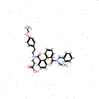 CCOc1ccc(CCN(CCC(=O)O)C(=O)c2ccccc2-c2ccccc2C(=O)N(CC)Cc2ccccc2)cc1